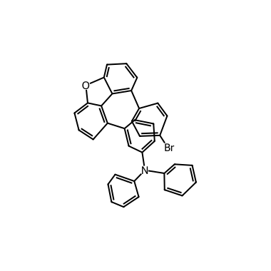 Brc1ccc(-c2cccc3oc4cccc(-c5cccc(N(c6ccccc6)c6ccccc6)c5)c4c23)cc1